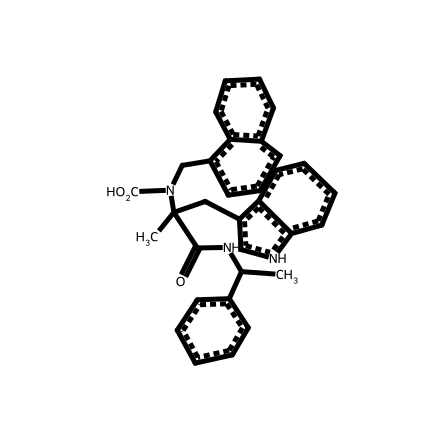 CC(NC(=O)C(C)(Cc1c[nH]c2ccccc12)N(Cc1cccc2ccccc12)C(=O)O)c1ccccc1